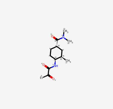 CCC(=O)C(=O)N[C@H]1CC[C@H](C(=O)N(C)C)C[C@H]1C